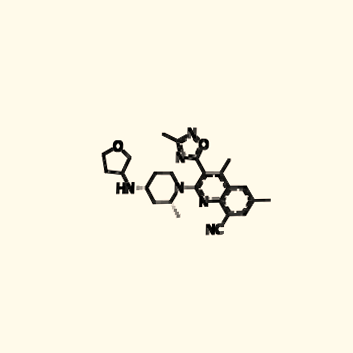 Cc1cc(C#N)c2nc(N3CC[C@@H](NC4CCOC4)C[C@H]3C)c(-c3nc(C)no3)c(C)c2c1